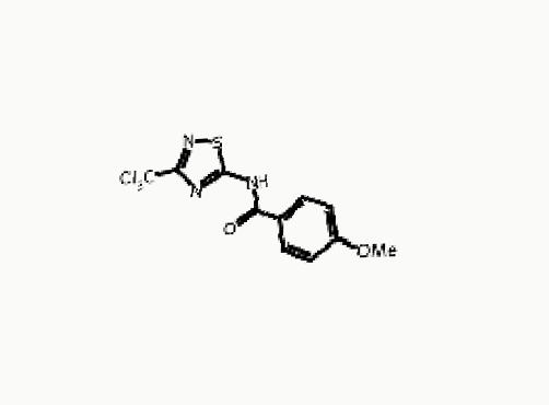 COc1ccc(C(=O)Nc2nc(C(Cl)(Cl)Cl)ns2)cc1